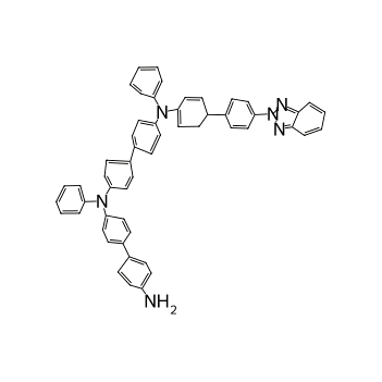 Nc1ccc(-c2ccc(N(c3ccccc3)c3ccc(-c4ccc(N(C5=CCC(c6ccc(-n7nc8ccccc8n7)cc6)C=C5)c5ccccc5)cc4)cc3)cc2)cc1